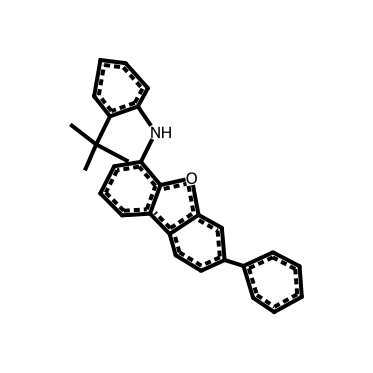 CC(C)(C)c1ccccc1Nc1cccc2c1oc1cc(-c3ccccc3)ccc12